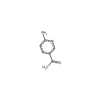 CC(=O)c1ccc(P)nc1